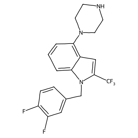 Fc1ccc(Cn2c(C(F)(F)F)cc3c(N4CCNCC4)cccc32)cc1F